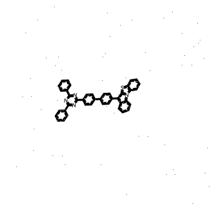 c1ccc(-c2nc(-c3ccccc3)nc(-c3ccc(-c4ccc(-c5c6ccccc6n6c5sc5ccccc56)cc4)cc3)n2)cc1